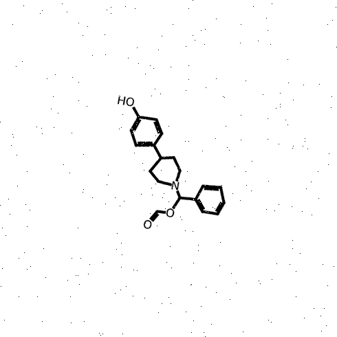 O=COC(c1ccccc1)N1CCC(c2ccc(O)cc2)CC1